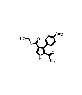 CCOC(=O)c1c[nH]c(C(N)=O)c1-c1ccc(N=O)cc1